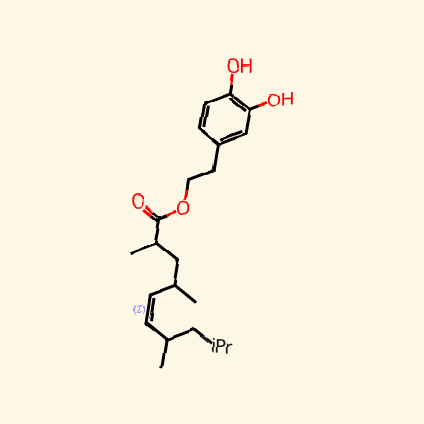 CC(C)CC(C)/C=C\C(C)CC(C)C(=O)OCCc1ccc(O)c(O)c1